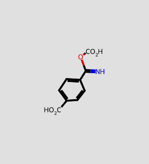 N=C(OC(=O)O)c1ccc(C(=O)O)cc1